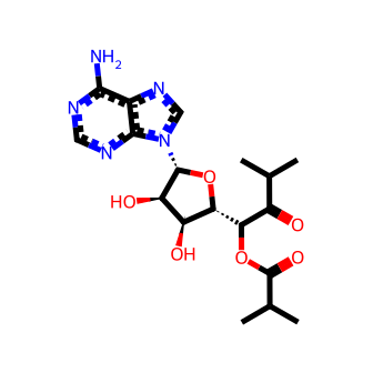 CC(C)C(=O)OC(C(=O)C(C)C)[C@H]1O[C@@H](n2cnc3c(N)ncnc32)[C@H](O)[C@@H]1O